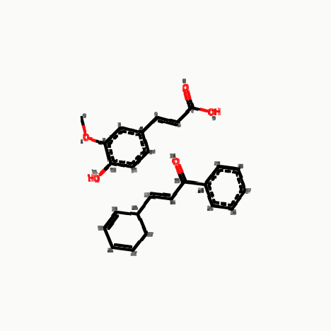 COc1cc(C=CC(=O)O)ccc1O.O=C(C=CC1C=CC=CC1)c1ccccc1